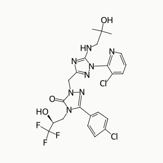 CC(C)(O)CNc1nc(Cn2nc(-c3ccc(Cl)cc3)n(C[C@H](O)C(F)(F)F)c2=O)nn1-c1ncccc1Cl